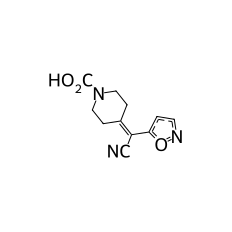 N#CC(=C1CCN(C(=O)O)CC1)c1ccno1